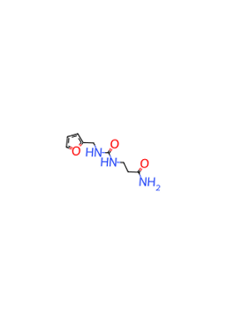 NC(=O)CCNC(=O)NCc1ccco1